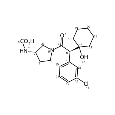 O=C(O)N[C@H]1CCN(C(=O)[C@H](c2cccc(Cl)c2)C2(O)CCCCC2)C1